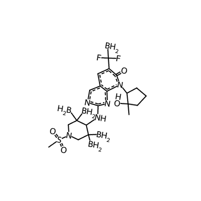 BC(F)(F)c1cc2cnc(NC3C(B)(B)CN(S(C)(=O)=O)CC3(B)B)nc2n(C2CCCC2(C)O)c1=O